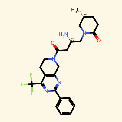 C[C@@H]1CCC(=O)N(C[C@@H](N)CC(=O)N2CCc3c(nc(-c4ccccc4)nc3C(F)(F)F)C2)C1